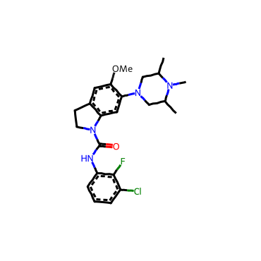 COc1cc2c(cc1N1CC(C)N(C)C(C)C1)N(C(=O)Nc1cccc(Cl)c1F)CC2